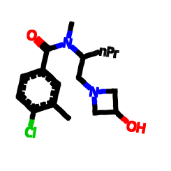 CCCC(CN1CC(O)C1)N(C)C(=O)c1ccc(Cl)c(C)c1